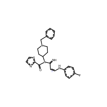 N=C(/C=C\Nc1ccc(F)cc1)N(C(=O)c1nccs1)C1CCN(Cc2ccccc2)CC1